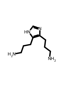 NCCCc1nc[nH]c1CCCN